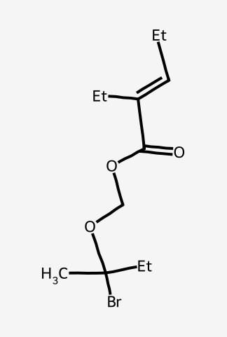 CC/C=C(\CC)C(=O)OCOC(C)(Br)CC